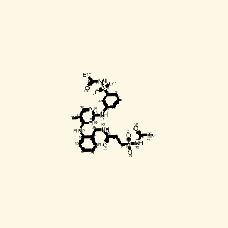 CCC(=O)NS(=O)(=O)c1cccc(Nc2ncc(C)c(Nc3ccccc3CNC(=O)CCS(=O)(=O)NC(=O)C(C)CC)n2)c1